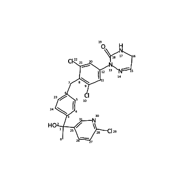 CC(O)(c1ccc(Cc2c(Cl)cc(N3N=CCNC3=O)cc2Cl)cc1)c1ccc(Cl)nc1